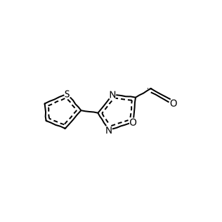 O=[C]c1nc(-c2cccs2)no1